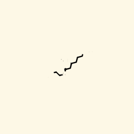 CCCCCCCCCCCCCCCC(=O)N[C@@H](CC(=O)O)C(=O)O.N